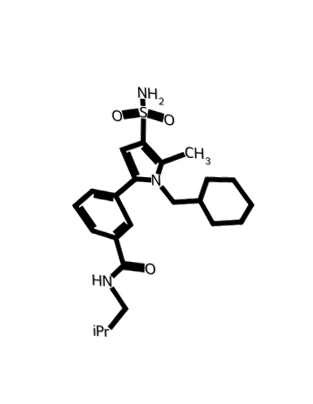 Cc1c(S(N)(=O)=O)cc(-c2cccc(C(=O)NCC(C)C)c2)n1CC1CCCCC1